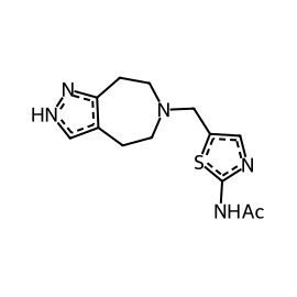 CC(=O)Nc1ncc(CN2CCc3c[nH]nc3CC2)s1